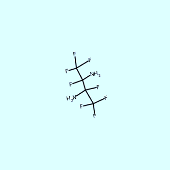 NC(F)(C(F)(F)F)C(N)(F)C(F)(F)F